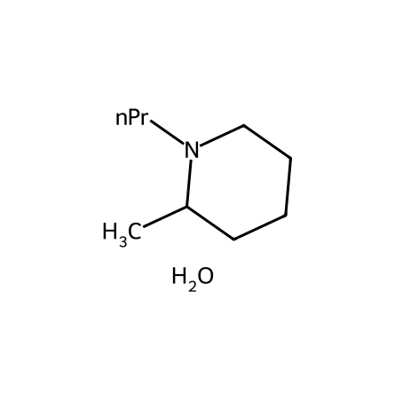 CCCN1CCCCC1C.O